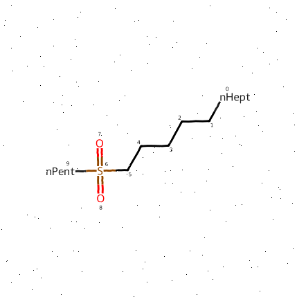 CCCCCCCCCCCCS(=O)(=O)CCCCC